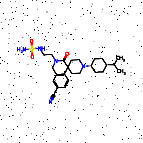 CC(C)[C@H]1CC[C@H](N2CCC3(CC2)C(=O)N(CCNS(N)(=O)=O)Cc2cc(C#N)ccc23)CC1